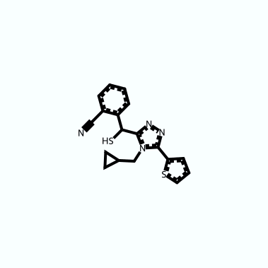 N#Cc1ccccc1C(S)c1nnc(-c2cccs2)n1CC1CC1